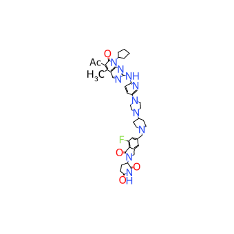 CC(=O)c1c(C)c2cnc(Nc3ccc(N4CCN(C5CCN(Cc6cc(F)c7c(c6)CN(C6CCC(=O)NC6=O)C7=O)CC5)CC4)cn3)nc2n(C2CCCC2)c1=O